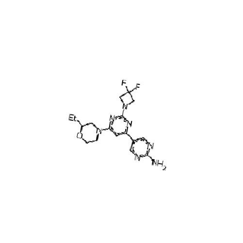 CC[C@H]1CN(c2cc(-c3cnc(N)nc3)nc(N3CC(F)(F)C3)n2)CCO1